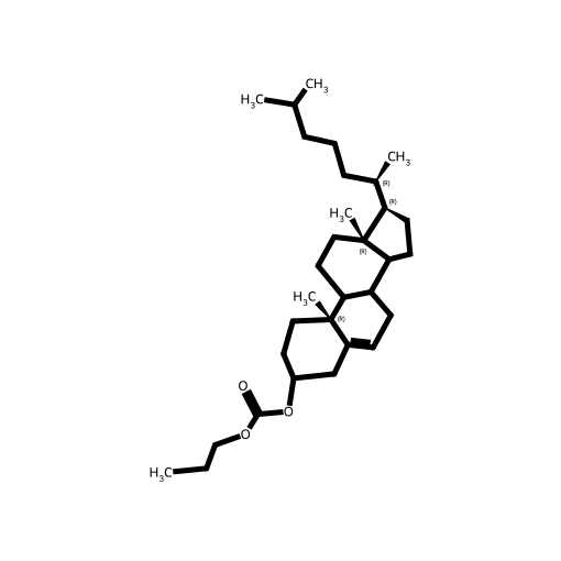 CCCOC(=O)OC1CC[C@@]2(C)C(=CCC3C2CC[C@@]2(C)C3CC[C@@H]2[C@H](C)CCCC(C)C)C1